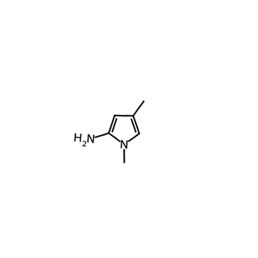 Cc1cc(N)n(C)c1